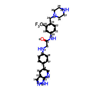 O=C(CNc1ccc(-c2cnc3[nH]ncc3c2)cc1)Nc1ccc(CN2CCNCC2)c(C(F)(F)F)c1